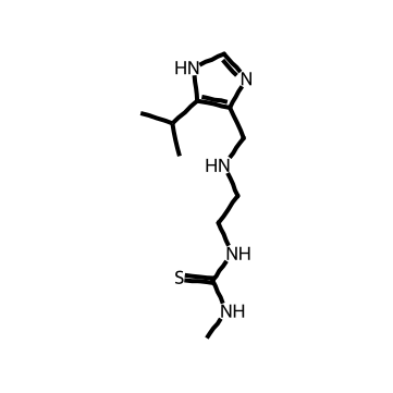 CNC(=S)NCCNCc1nc[nH]c1C(C)C